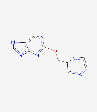 [c]1nc2nc(OCc3cnccn3)ncc2[nH]1